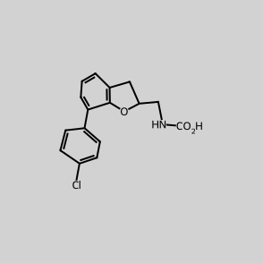 O=C(O)NCC1Cc2cccc(-c3ccc(Cl)cc3)c2O1